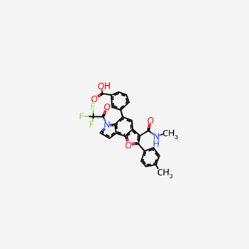 CNC(=O)c1c(-c2ccc(C)cc2)oc2c1cc(-c1cccc(C(=O)O)c1)c1c2ccn1C(=O)C(F)(F)F